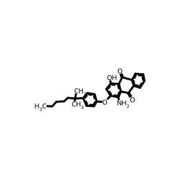 CCCCCC(C)(C)c1ccc(Oc2cc(O)c3c(c2N)C(=O)c2ccccc2C3=O)cc1